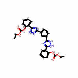 CCOC(=O)Oc1ccccc1-c1nc(-c2cccc(-c3n[nH]c(-c4ccccc4OC(=O)OCC)n3)c2)n[nH]1